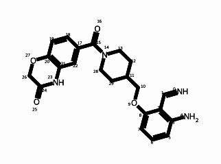 N=Cc1c(N)cccc1OCC1CCN(C(=O)c2ccc3c(c2)NC(=O)CO3)CC1